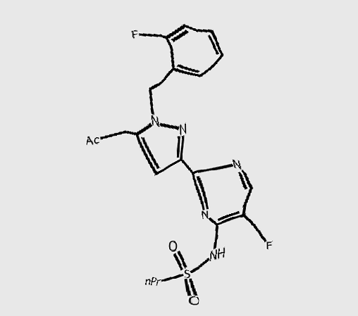 CCCS(=O)(=O)Nc1nc(-c2cc(C(C)=O)n(Cc3ccccc3F)n2)ncc1F